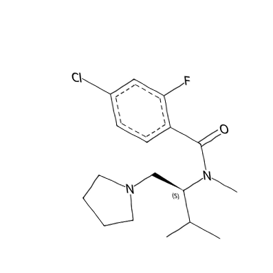 CC(C)[C@@H](CN1CCCC1)N(C)C(=O)c1ccc(Cl)cc1F